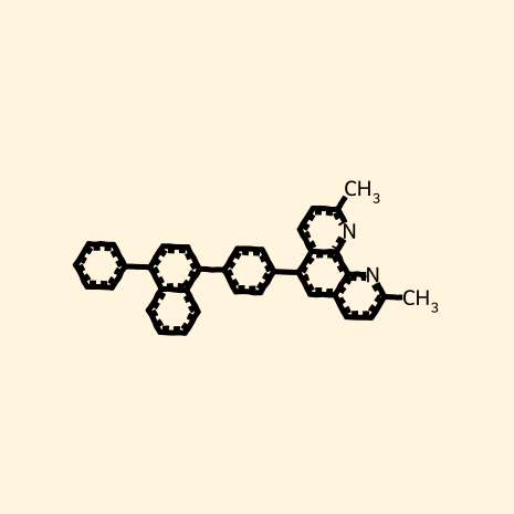 Cc1ccc2cc(-c3ccc(-c4ccc(-c5ccccc5)c5ccccc45)cc3)c3ccc(C)nc3c2n1